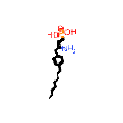 CCCCCCCCc1ccc(CC(N)C=CP(=O)(O)O)cc1